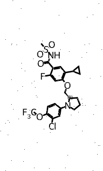 CS(=O)(=O)NC(=O)c1cc(C2CC2)c(OC[C@H]2CCCN2c2ccc(OC(F)(F)F)c(Cl)c2)cc1F